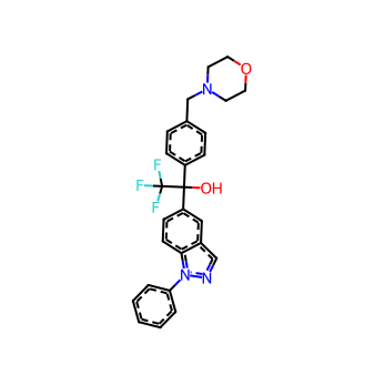 OC(c1ccc(CN2CCOCC2)cc1)(c1ccc2c(cnn2-c2ccccc2)c1)C(F)(F)F